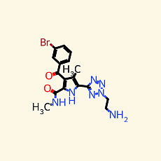 CNC(=O)c1[nH]c(-c2nnn(CCN)n2)c(C)c1C(=O)c1cccc(Br)c1